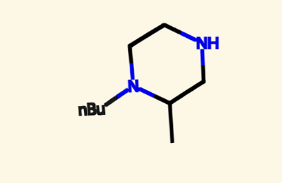 CCCCN1CCNCC1C